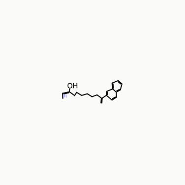 C=C(CCCCCC/C(O)=C\C)c1ccc2ccccc2c1